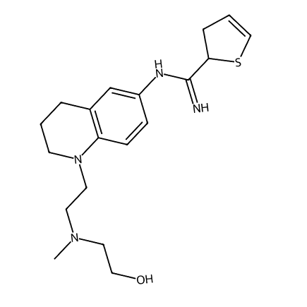 CN(CCO)CCN1CCCc2cc(NC(=N)C3CC=CS3)ccc21